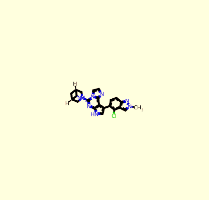 Cn1cc2c(Cl)c(-c3c[nH]c4nc(N5C[C@H]6C[C@@H](C5)C6N)n5ccnc5c34)ccc2n1